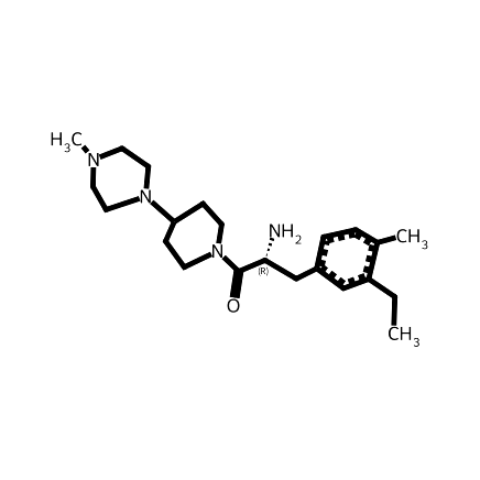 CCc1cc(C[C@@H](N)C(=O)N2CCC(N3CCN(C)CC3)CC2)ccc1C